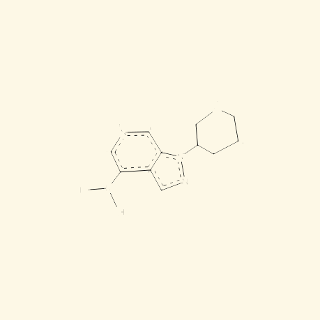 OB(O)c1cncc2c1cnn2C1CCCOC1